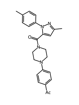 CC(=O)c1ccc(N2CCN(C(=O)c3cc(C)nn3-c3ccc(C)cc3)CC2)cc1